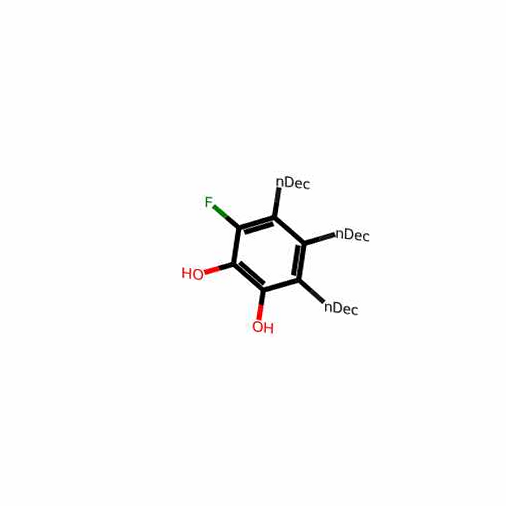 CCCCCCCCCCc1c(O)c(O)c(F)c(CCCCCCCCCC)c1CCCCCCCCCC